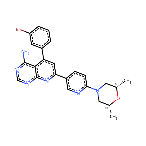 C[C@@H]1CN(c2ccc(-c3cc(-c4cccc(Br)c4)c4c(N)ncnc4n3)cn2)C[C@H](C)O1